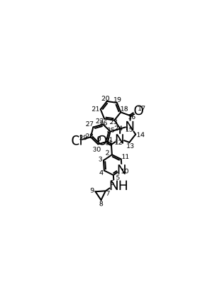 O=C(c1ccc(NC2CC2)nc1)N1CCN2C(=O)c3ccccc3C12c1ccc(Cl)cc1